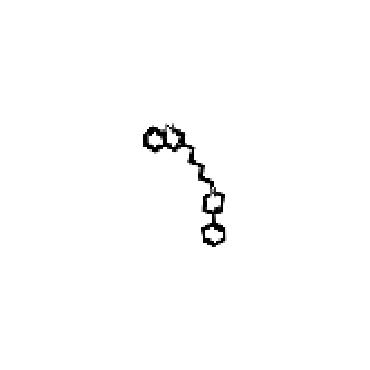 C1=CCC(C2=CCN(CCCCCc3cnc4ccccc4c3)C=C2)=CC1